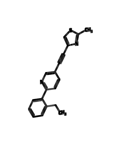 CCc1ccccc1-c1ccc(C#Cc2csc(C)n2)cn1